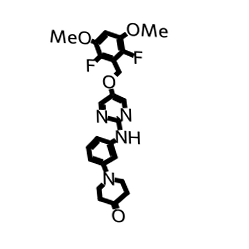 COc1cc(OC)c(F)c(COc2cnc(Nc3cccc(N4CCC(=O)CC4)c3)nc2)c1F